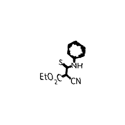 CCOC(=O)C(C#N)C(=S)Nc1ccccc1